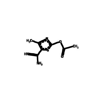 CC(=O)Oc1nc(C)c(C(=N)N)s1